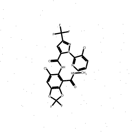 CNC(=O)c1c(NC(=O)c2cc(C(F)(F)F)nn2-c2ncccc2Cl)c(Cl)cc2c1OC(F)(F)O2